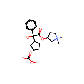 COC(=O)[O-].C[N+]1(C)CCC(OC(=O)C(O)(c2ccccc2)C2CCCC2)C1